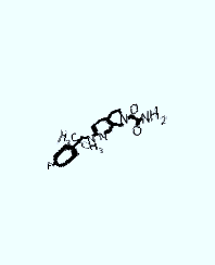 CC(C)(CNC1=CCC2=C(C=N1)CN(C(=O)C(N)=O)CC2)c1ccc(F)cc1